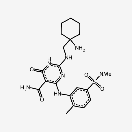 CNS(=O)(=O)c1ccc(C)c(Nc2nc(NCC3(N)CCCCC3)[nH]c(=O)c2C(N)=O)c1